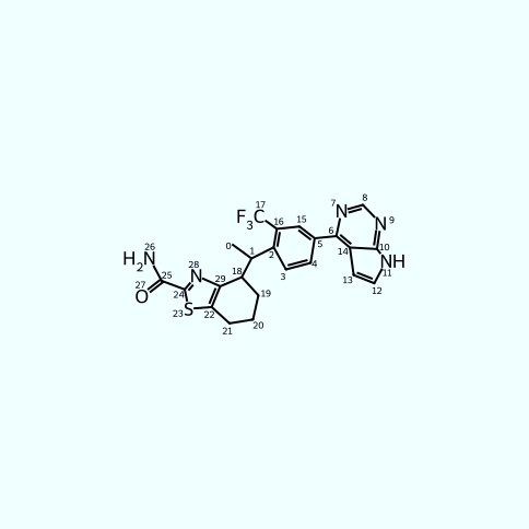 CC(c1ccc(-c2ncnc3[nH]ccc23)cc1C(F)(F)F)C1CCCc2sc(C(N)=O)nc21